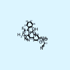 Cn1nnc(-c2ccc(NS(=O)(=O)CC#N)cn2)c1N(C(=O)O)[C@@H](c1ccccc1)C(F)F